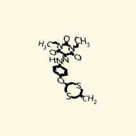 C=C1CSCC(Oc2ccc(NN=C3C(=O)N(CC)C(=O)N(CC)C3=O)cc2)CSC1